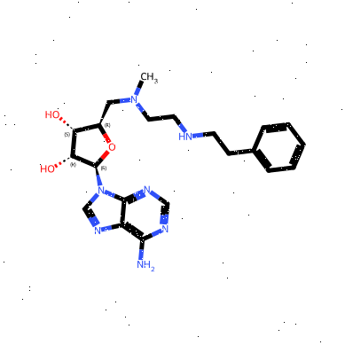 CN(CCNCCc1ccccc1)C[C@H]1O[C@@H](n2cnc3c(N)ncnc32)[C@H](O)[C@@H]1O